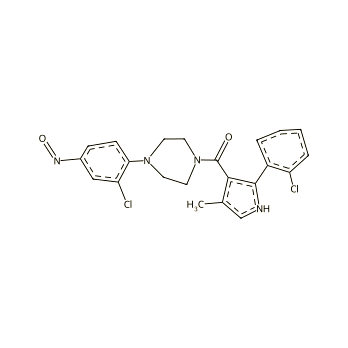 Cc1c[nH]c(-c2ccccc2Cl)c1C(=O)N1CCN(c2ccc(N=O)cc2Cl)CC1